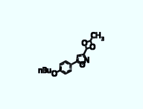 CCCCOc1ccc(-c2cc(C3OC(C)O3)no2)cc1